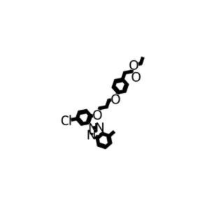 CCOC(=O)Cc1ccc(OCCCOc2ccc(Cl)cc2-n2nc3cccc(C)c3n2)cc1